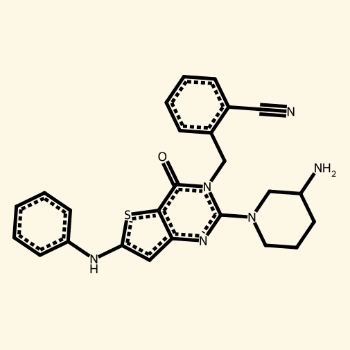 N#Cc1ccccc1Cn1c(N2CCCC(N)C2)nc2cc(Nc3ccccc3)sc2c1=O